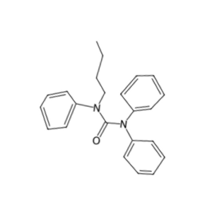 CCCCN(C(=O)N(c1ccccc1)c1ccccc1)c1ccccc1